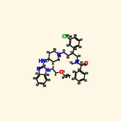 CCCOCCn1c(NC2CCN(CCC(CN(C)C(=O)c3ccccc3)c3cccc(Cl)c3)CC2)nc2ccccc21